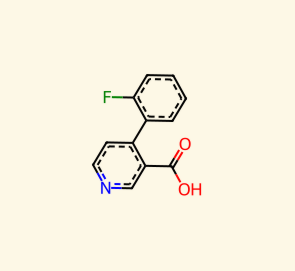 O=C(O)c1cnccc1-c1ccccc1F